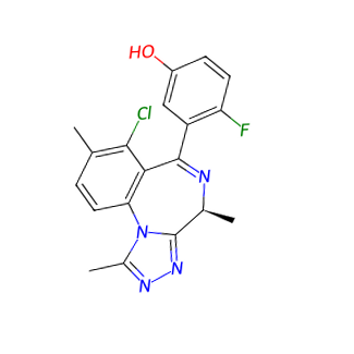 Cc1ccc2c(c1Cl)C(c1cc(O)ccc1F)=N[C@@H](C)c1nnc(C)n1-2